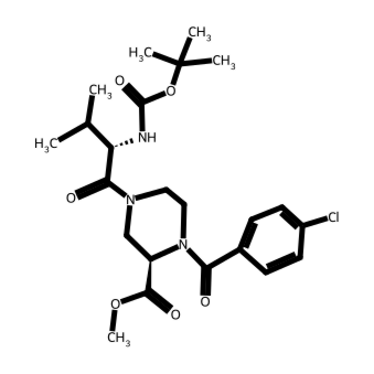 COC(=O)[C@H]1CN(C(=O)[C@@H](NC(=O)OC(C)(C)C)C(C)C)CCN1C(=O)c1ccc(Cl)cc1